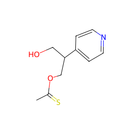 CC(=S)OCC(CO)c1ccncc1